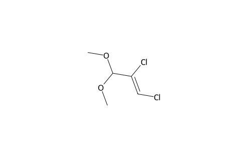 COC(OC)C(Cl)=CCl